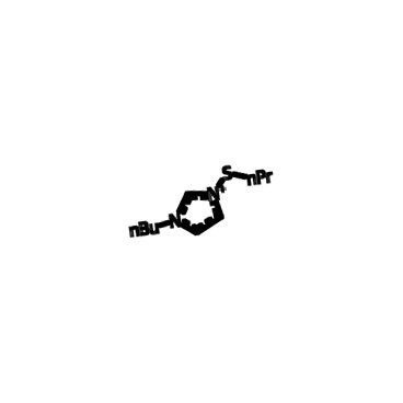 CCCCn1cc[n+](SCCC)c1